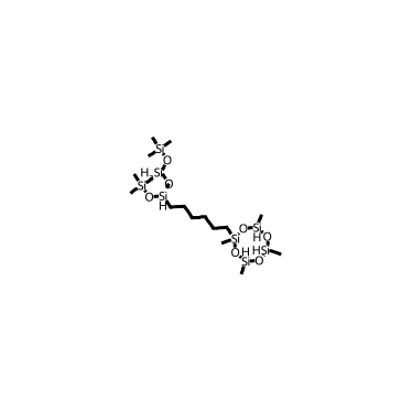 C[SiH]1O[SiH](C)O[Si](C)(CCCCCC[SiH](O[SiH2]O[Si](C)(C)C)O[Si](C)(C)C)O[SiH](C)O1